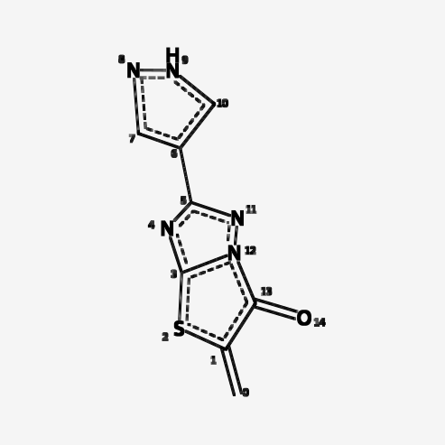 C=c1sc2nc(-c3cn[nH]c3)nn2c1=O